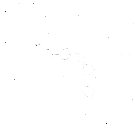 CC(=O)SCC(=O)c1ccc(NS(=O)(=O)c2ccc(Oc3ccccc3C)cc2)cc1